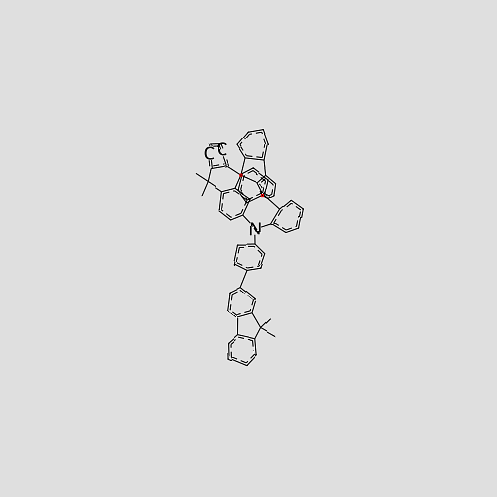 CC1(C)c2ccccc2-c2ccc(-c3ccc(N(c4ccc5c(c4)C4(c6ccccc6-c6ccccc64)c4ccccc4C5(C)C)c4ccccc4-c4ccccc4)cc3)cc21